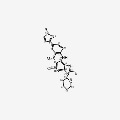 CSc1cc(-c2ccn(C)n2)ccc1Nc1cc(Cl)nc2c1nc(C)n2C1CCCCO1